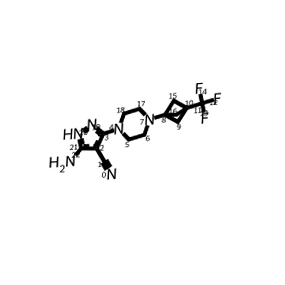 N#Cc1c(N2CCN(C34CC(C(F)(F)F)(C3)C4)CC2)n[nH]c1N